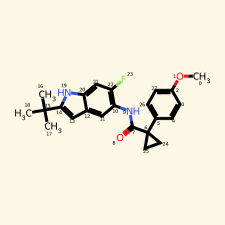 COc1ccc(C2(C(=O)Nc3cc4cc(C(C)(C)C)[nH]c4cc3F)CC2)cc1